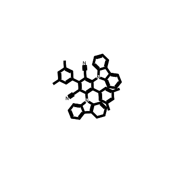 Cc1cc(C)cc(-c2c(C#N)c(-n3c4c(c5ccccc53)CCC=C4)c(-c3cc(C)cc(C)c3)c(-n3c4ccccc4c4ccccc43)c2C#N)c1